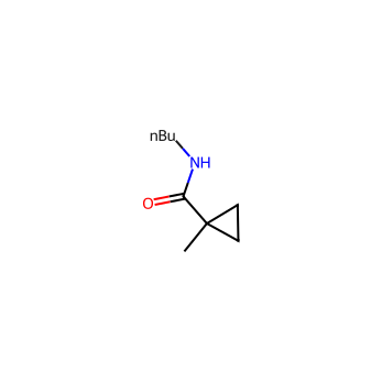 CCCCNC(=O)C1(C)CC1